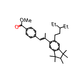 CCC(CC)CCc1cc2c(cc1/C(C)=C/c1ccc(C(=O)OC)cc1)C(C)(C)C(C)C2(C)C